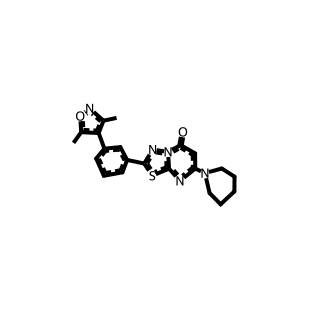 Cc1noc(C)c1-c1cccc(-c2nn3c(=O)cc(N4CCCCC4)nc3s2)c1